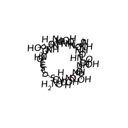 CCC[C@@H]1NC(=O)[C@H](Cc2c[nH]c3ncccc23)NC(=O)[C@H]([C@@H](C)O)NC(=O)[C@@H]2C[C@@H](N)CN2C(=O)[C@H](Cc2ccc(O)cc2)NC(=O)C(C(C)(C)C)NC(=O)CCSCc2cccc(c2)CSC[C@@H](C(N)=O)NC(=O)[C@H]([C@@H](C)O)NC(=O)[C@H](CCC)NC(=O)[C@H](Cc2ccc(O)cc2)NC(=O)[C@H](CCC(=O)O)NC1=O